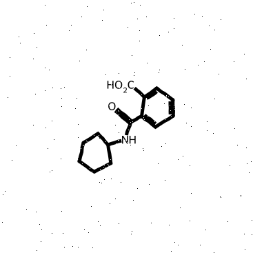 O=C(O)c1ccccc1C(=O)NC1CCCCC1